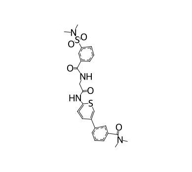 CN(C)C(=O)c1cccc(C2=CSC(NC(=O)CNC(=O)c3cccc(S(=O)(=O)N(C)C)c3)=C=C2)c1